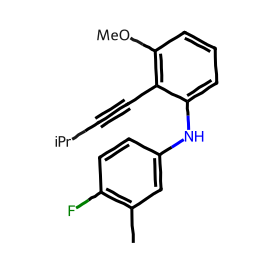 COc1cccc(Nc2ccc(F)c(C)c2)c1C#CC(C)C